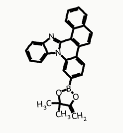 C=C1OB(c2ccc3c4ccc5ccccc5c4c4nc5ccccc5n4c3c2)OC1(C)C